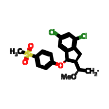 [CH2][C@H](OC)[C@@H]1Cc2c(Cl)cc(Cl)cc2[C@H]1Oc1ccc(S(C)(=O)=O)cc1